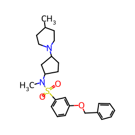 CC1CCN(C2CCC(N(C)S(=O)(=O)c3cccc(OCc4ccccc4)c3)C2)CC1